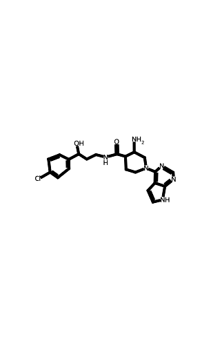 NC1CN(c2ncnc3[nH]ccc23)CCC1C(=O)NCCC(O)c1ccc(Cl)cc1